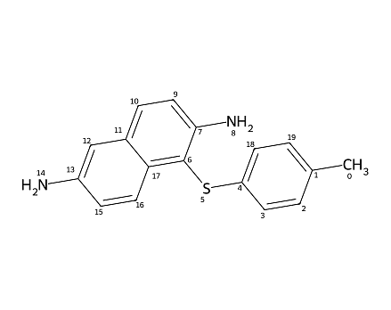 Cc1ccc(Sc2c(N)ccc3cc(N)ccc23)cc1